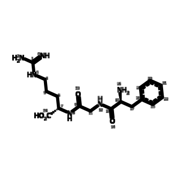 N=C(N)NCCC[C@H](NC(=O)CNC(=O)[C@@H](N)Cc1ccccc1)C(=O)O